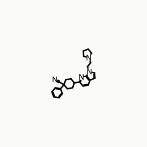 N#CC1(c2ccccc2)CCC(c2ccc3ccn(CCN4CCCC4)c3n2)CC1